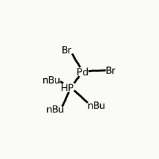 CCCC[PH](CCCC)(CCCC)[Pd]([Br])[Br]